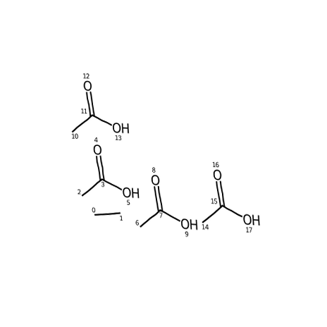 CC.CC(=O)O.CC(=O)O.CC(=O)O.CC(=O)O